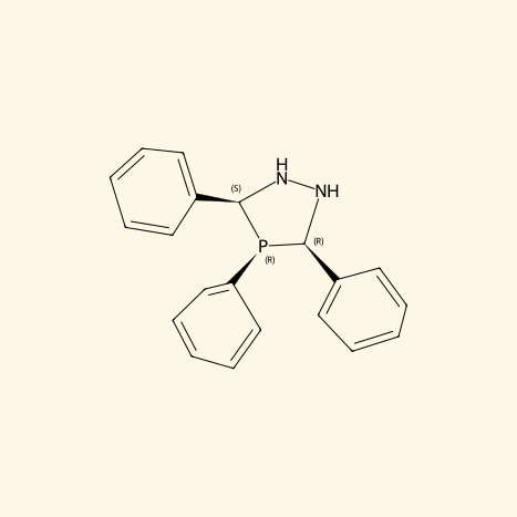 c1ccc([C@H]2NN[C@@H](c3ccccc3)[P@@]2c2ccccc2)cc1